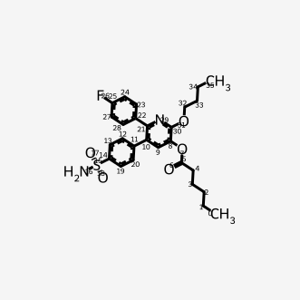 CCCCCC(=O)Oc1cc(-c2ccc(S(N)(=O)=O)cc2)c(-c2ccc(F)cc2)nc1OCCCC